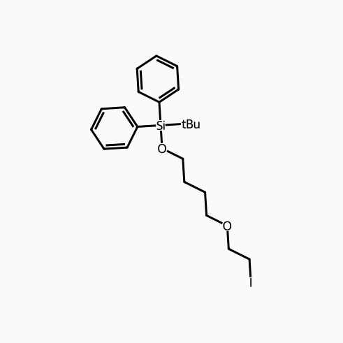 CC(C)(C)[Si](OCCCCOCCI)(c1ccccc1)c1ccccc1